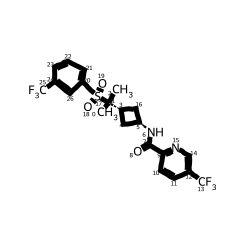 CC(C)([C@H]1C[C@@H](NC(=O)c2ccc(C(F)(F)F)cn2)C1)S(=O)(=O)c1cccc(C(F)(F)F)c1